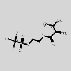 C=C(C(=O)OCCNS(=O)(=O)C(F)(F)F)C(C)C